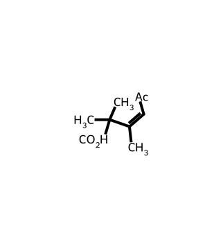 CC(=O)C=C(C)C(C)(C)C(=O)O